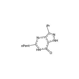 CCCCCc1nc2c(C(C)C)n[nH]c2c(=O)[nH]1